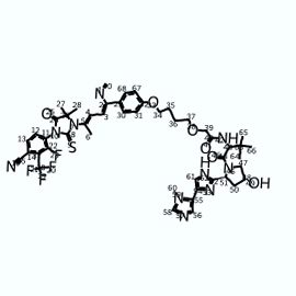 C=N/C(=C\C=C(/C)N1C(=S)N(c2ccc(C#N)c(C(F)(F)F)c2F)C(=O)C1(C)C)c1ccc(OCCCCOCC(=O)N[C@H](C(=O)N2C[C@H](O)C[C@H]2c2nc(-c3cncn3C)c[nH]2)C(C)(C)C)cc1